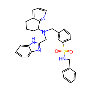 O=S(=O)(NCc1ccccc1)c1cccc(CN(Cc2nc3ccccc3[nH]2)C2CCCc3cccnc32)c1